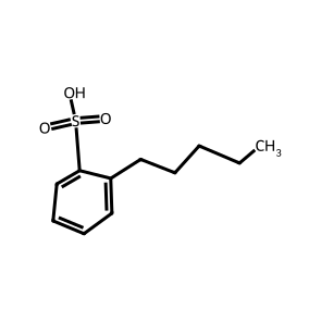 CCCCCc1ccccc1S(=O)(=O)O